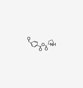 O=Cc1ccc(C(=O)OC(=O)[C@@H]2CCCN2)cc1